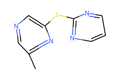 Cc1cncc(Sc2ncccn2)n1